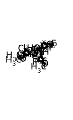 COc1cc(F)c([C@@H]2CN(c3cc(Cl)cc(OC(C)C)c3)C(=O)C2NC(O)c2ccc(OC(F)F)cc2)c(F)c1